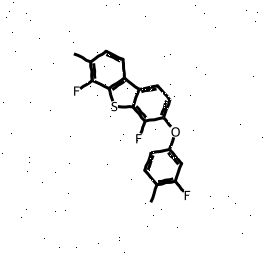 Cc1ccc(Oc2ccc3c(sc4c(F)c(C)ccc43)c2F)cc1F